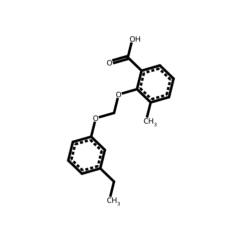 CCc1cccc(OCOc2c(C)cccc2C(=O)O)c1